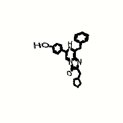 O=c1c(CC2CCCC2)nc2c(Cc3ccccc3)[nH]c(-c3ccc(O)cc3)cn1-2